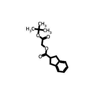 CC(C)(C)OC(=O)COC(=O)C1Cc2ccccc2C1